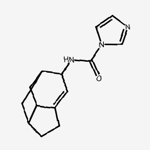 O=C(NC1C=C2CCC3CC1CC23)n1ccnc1